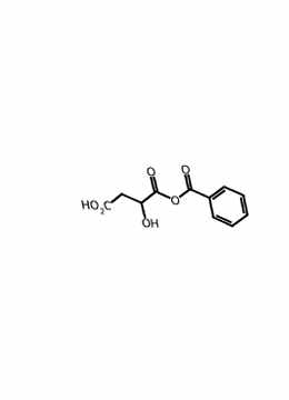 O=C(O)CC(O)C(=O)OC(=O)c1ccccc1